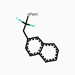 [CH2]CCCCC(F)(F)Cc1ccc2ccccc2c1